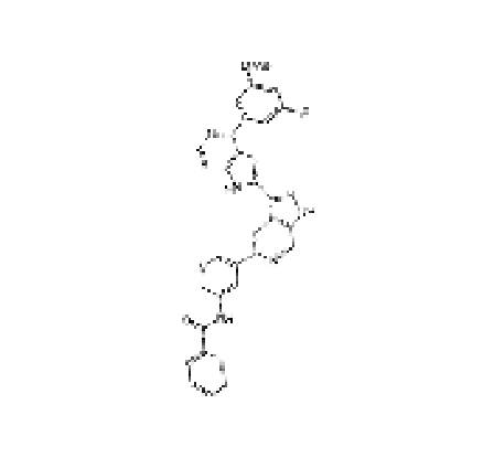 COc1cc(F)cc(-c2nccc3[nH]c(-c4n[nH]c5cnc(-c6cncc(NC(=O)c7ccccc7)c6)cc45)cc23)c1